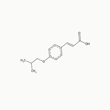 CC(C)COc1ccc(C=CC(=O)O)cc1